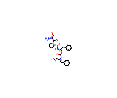 N[C@@H](CO)C(=O)N1CCC[C@H]1C(=O)N[C@H](CC(=O)N[C@@H](Cc1ccccc1)C(=O)O)Cc1ccccc1